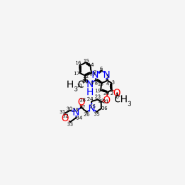 COc1cc2ncnc(N[C@H](C)c3ccccc3)c2cc1OC1CCN(CC(=O)N2CCOCC2)CC1